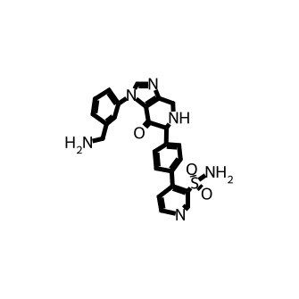 NCc1cccc(-n2cnc3c2C(=O)C(c2ccc(-c4ccncc4S(N)(=O)=O)cc2)NC3)c1